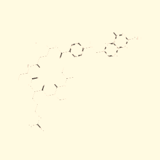 N=C(N)NCCCC(NC(=O)C(CC(=O)O)NC(=O)CCC(NC(=O)c1ccc(NCc2cnc3nc(N)[nH]c(=O)c3n2)cc1)C(=O)O)C(=O)NC(CC(=O)O)C(=O)NC(C=O)CC(=O)O